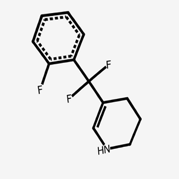 Fc1ccccc1C(F)(F)C1=CNCCC1